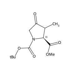 COC(=O)[C@@H]1C(C)C(=O)CN1C(=O)OC(C)(C)C